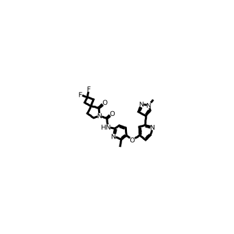 Cc1nc(NC(=O)N2CCC3(CC(F)(F)C3)C2=O)ccc1Oc1ccnc(-c2cnn(C)c2)c1